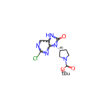 CC(C)(C)OC(=O)N1CC[C@@H](n2c(=O)[nH]c3cnc(Cl)nc32)C1